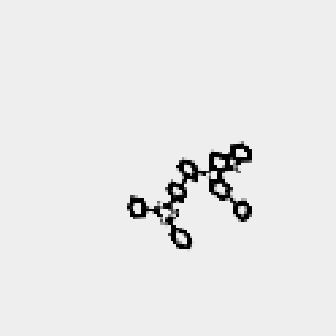 c1ccc(-c2ccc3c(c2)c2c4sc5ccccc5c4ccc2n3-c2cccc(-c3ccc(-c4nc(-c5ccccc5)nc(-c5ccccc5)n4)cc3)c2)cc1